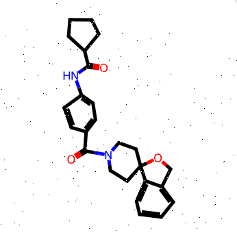 O=C(Nc1ccc(C(=O)N2CCC3(CC2)OCc2ccccc23)cc1)C1CCCC1